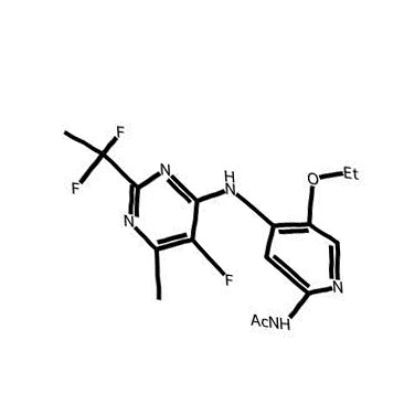 CCOc1cnc(NC(C)=O)cc1Nc1nc(C(C)(F)F)nc(C)c1F